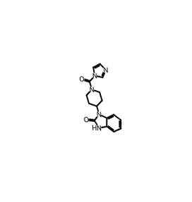 O=C(N1CCC(n2c(=O)[nH]c3ccccc32)CC1)n1ccnc1